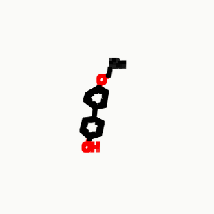 CCC(C)COc1ccc(-c2ccc(O)cc2)cc1